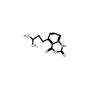 CC(C)CCc1cccc2[nH]c(=O)oc(=O)c12